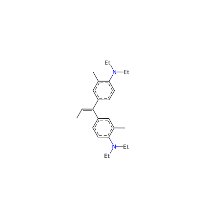 CC=C(c1ccc(N(CC)CC)c(C)c1)c1ccc(N(CC)CC)c(C)c1